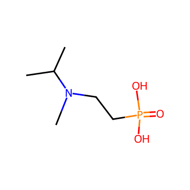 CC(C)N(C)CCP(=O)(O)O